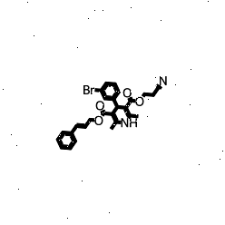 CC1=C(C(=O)OCC=Cc2ccccc2)C(c2cccc(Br)c2)C(C(=O)OCCC#N)=C(C)N1